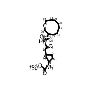 CC(C)(C)OC(=O)NC1CCC(CC(=O)NS(=O)(=O)C2CCCCCCCCC2)C1